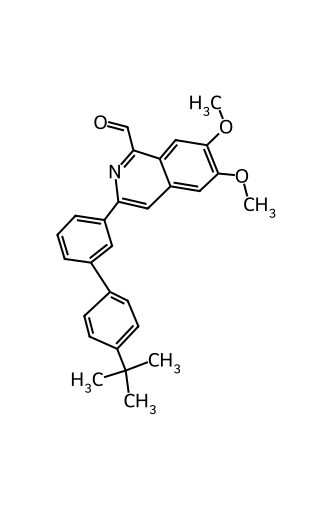 COc1cc2cc(-c3cccc(-c4ccc(C(C)(C)C)cc4)c3)nc(C=O)c2cc1OC